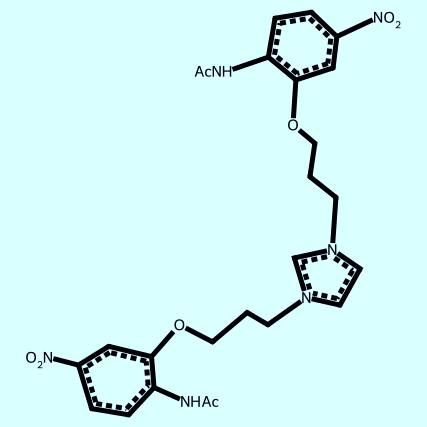 CC(=O)Nc1ccc([N+](=O)[O-])cc1OCCCn1cc[n+](CCCOc2cc([N+](=O)[O-])ccc2NC(C)=O)c1